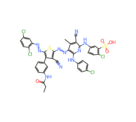 CCC(=O)Nc1cccc(-c2c(N=Nc3cc(Cl)ccc3Cl)sc(N=Nc3c(Nc4ccc(Cl)cc4)nc(Nc4ccc(Cl)c(S(=O)(=O)O)c4)c(C#N)c3C)c2C#N)c1